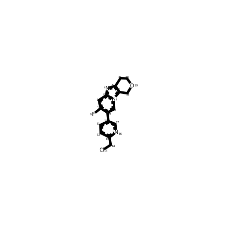 Fc1cc2nc3c(n2cc1-c1ccc(CCl)nc1)COCC3